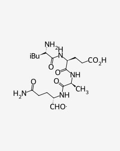 CC[C@H](C)[C@H](N)C(=O)N[C@@H](CCC(=O)O)C(=O)N[C@@H](C)C(=O)N[C@H]([C]=O)CCC(N)=O